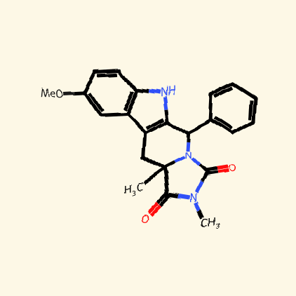 COc1ccc2[nH]c3c(c2c1)CC1(C)C(=O)N(C)C(=O)N1C3c1ccccc1